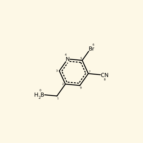 BCc1cnc(Br)c(C#N)c1